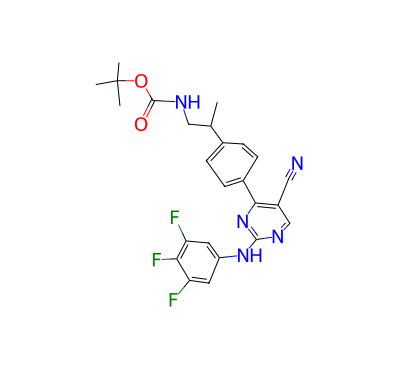 CC(CNC(=O)OC(C)(C)C)c1ccc(-c2nc(Nc3cc(F)c(F)c(F)c3)ncc2C#N)cc1